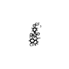 CC(c1ccnc2c(Cl)cccc12)C1NC(=O)N(c2ccc(OC(F)(F)F)cc2)C1=O